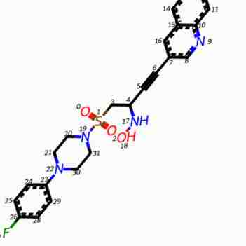 O=S(=O)(CC(C#Cc1cnc2ccccc2c1)NO)N1CCN(c2ccc(F)cc2)CC1